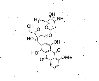 COc1cccc2c1C(=O)c1c(O)c3c(c(O)c1C2=O)C[C@@](O)(C(=O)CO)C[C@@H]3OC1CC(N)[C@H](O)[C@H](C)O1